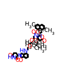 C[C@H]1C=C2C=C[C@H](C)[C@H](CC[C@@H]3C[C@@H](O[Si](C)(C)C(C)(C)C)CC(=O)O3)[C@H]2[C@@H](OC(=O)NCCOCCOCCNc2cccc3c2CN(C2CCC(=O)NC2=O)C3=O)C1